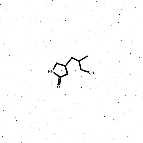 CC(CO)CC1CNC(=O)C1